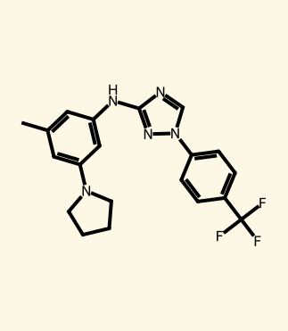 Cc1cc(Nc2ncn(-c3ccc(C(F)(F)F)cc3)n2)cc(N2CCCC2)c1